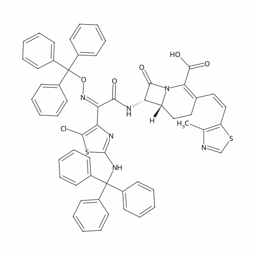 Cc1ncsc1/C=C\C1=C(C(=O)O)N2C(=O)[C@@H](NC(=O)/C(=N\OC(c3ccccc3)(c3ccccc3)c3ccccc3)c3nc(NC(c4ccccc4)(c4ccccc4)c4ccccc4)sc3Cl)[C@H]2CC1